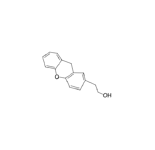 OCCc1ccc2c(c1)Cc1ccccc1O2